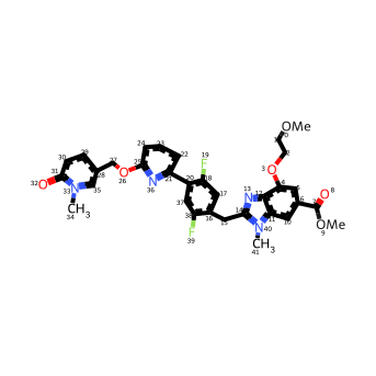 COCCOc1cc(C(=O)OC)cc2c1nc(Cc1cc(F)c(-c3cccc(OCc4ccc(=O)n(C)c4)n3)cc1F)n2C